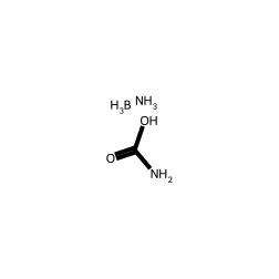 B.N.NC(=O)O